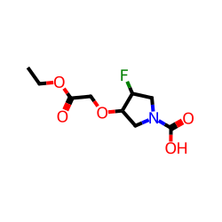 CCOC(=O)COC1CN(C(=O)O)CC1F